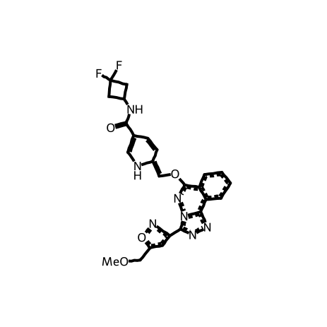 COCc1cc(-c2nnc3c4ccccc4c(OC=C4C=CC(C(=O)NC5CC(F)(F)C5)=CN4)nn23)no1